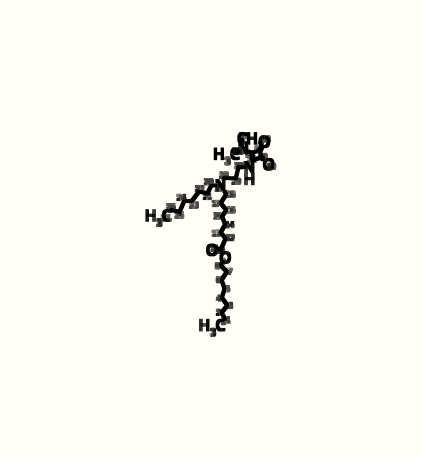 CCCCCCCCCOC(=O)CCCCCCCN(CCCCCCCC)CCCNc1c(N(C)C)c(=O)c1=O